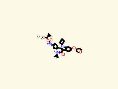 CC(OC(=O)Nc1ccc(-c2c(C(=O)NC3CC3)c3ccc(OC4CCOCC4)cc3n2C2CCC2)cc1)C1CC1